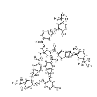 CCC(C)(C)c1ccc(O)c(-n2n3c4ccc(C(=O)OCC(COC(=O)c5ccc6c(c5)n5n(-c7cc(C(C)(C)C)ccc7O)n65)(COC(=O)c5ccc6c(c5)n5n(-c7cc(C(C)(C)CC)ccc7O)n65)COC(=O)c5ccc6c(c5)n5n(-c7cc(C(C)(C)CC)ccc7O)n65)cc4n23)c1